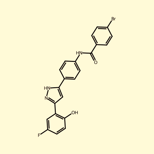 O=C(Nc1ccc(-c2cc(-c3cc(F)ccc3O)n[nH]2)cc1)c1ccc(Br)cc1